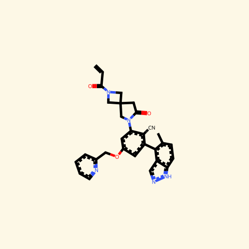 C=CC(=O)N1CC2(CC(=O)N(c3cc(OCc4ccccn4)cc(-c4c(C)ccc5[nH]ncc45)c3C#N)C2)C1